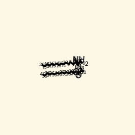 C=C(C)C(=O)N(N)CCCCCCCCCCCCCC.C=C(C)C(=O)OCCCCCCCCCCCCCC